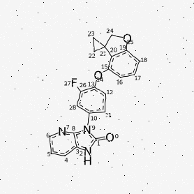 O=c1[nH]c2cccnc2n1-c1ccc(Oc2cccc3c2C2(CC2)CO3)c(F)c1